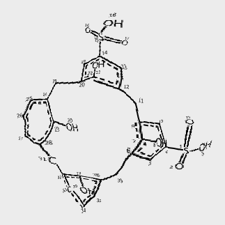 O=S(=O)(O)c1cc2c(O)c(c1)Cc1cc(S(=O)(=O)O)cc(c1O)Cc1cccc(c1O)Cc1cccc(c1O)C2